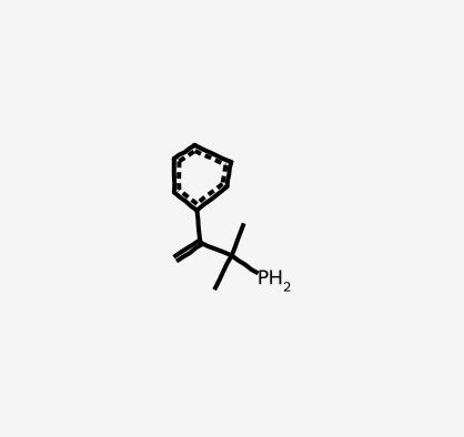 C=C(c1ccccc1)C(C)(C)P